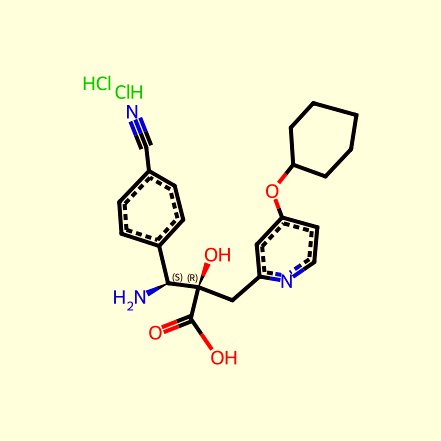 Cl.Cl.N#Cc1ccc([C@H](N)[C@](O)(Cc2cc(OC3CCCCC3)ccn2)C(=O)O)cc1